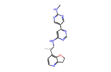 CNc1ncc(-c2cc(NC[C@@H](C)c3ccnc4c3OCC4)ncn2)cn1